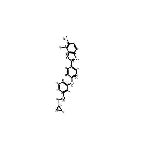 Fc1c(Br)ccc2nc(-c3ccc(Oc4cccc(OCC5CC5)c4)nc3)oc12